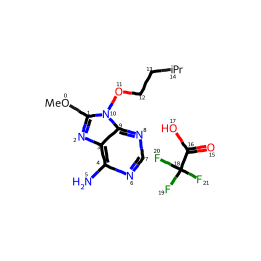 COc1nc2c(N)ncnc2n1OCCC(C)C.O=C(O)C(F)(F)F